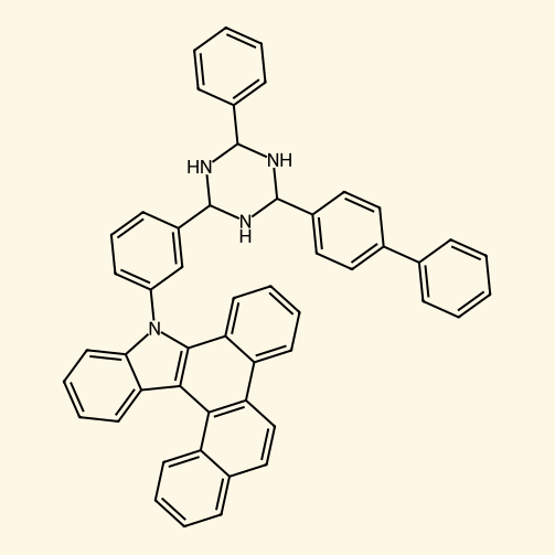 c1ccc(-c2ccc(C3NC(c4ccccc4)NC(c4cccc(-n5c6ccccc6c6c7c8ccccc8ccc7c7ccccc7c65)c4)N3)cc2)cc1